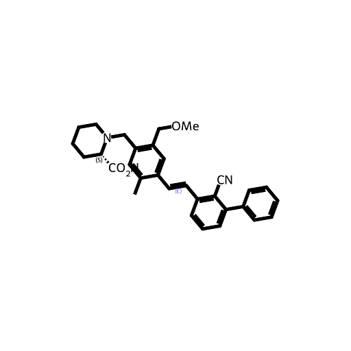 COCc1cc(/C=C/c2cccc(-c3ccccc3)c2C#N)c(C)cc1CN1CCCC[C@H]1C(=O)O